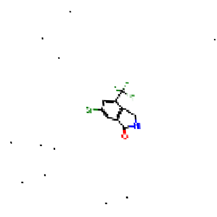 O=C1NCc2c1cc(Br)cc2C(F)(F)F